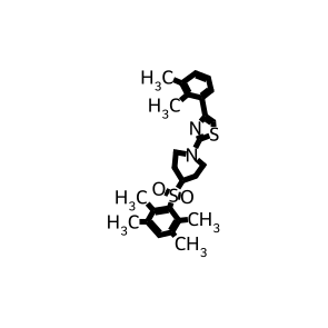 Cc1cccc(-c2csc(N3CCC(S(=O)(=O)c4c(C)c(C)cc(C)c4C)CC3)n2)c1C